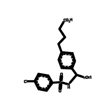 CCCCCCCCC(NS(=O)(=O)c1ccc(Cl)cc1)c1ccc(CCCC(=O)O)cc1